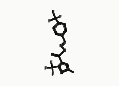 Cn1cc(C(=O)O/N=C/c2ccc(C(F)(F)F)cc2)c(C(F)(F)F)n1